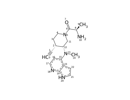 C#C[C@@H]1CCN(C(=O)[C@@H](C)N)C[C@@H]1N(C)c1ccnc2[nH]ccc12